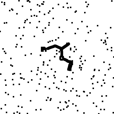 [CH]=NOC(C)CC(C)C